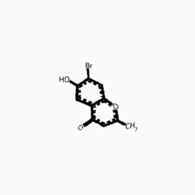 Cc1cc(=O)c2cc(O)c(Br)cc2o1